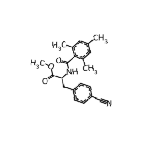 COC(=O)[C@H](Cc1ccc(C#N)cc1)NC(=O)c1c(C)cc(C)cc1C